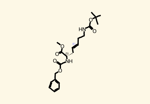 COC(=O)[C@H](C/C=C/CCNC(=O)OC(C)(C)C)NC(=O)OCc1ccccc1